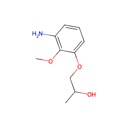 COc1c(N)cccc1OCC(C)O